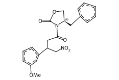 COc1cccc(C(CC(=O)N2C(=O)OC[C@H]2Cc2ccccc2)C[N+](=O)[O-])c1